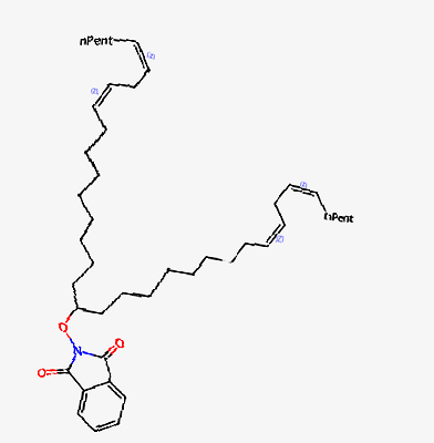 CCCCC/C=C\C/C=C\CCCCCCCCC(CCCCCCCC/C=C\C/C=C\CCCCC)ON1C(=O)c2ccccc2C1=O